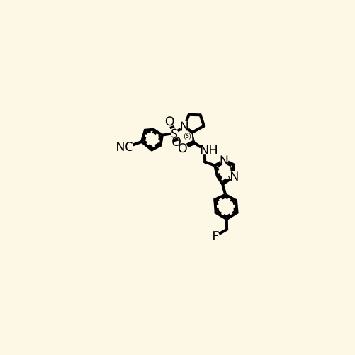 N#Cc1ccc(S(=O)(=O)N2CCC[C@H]2C(=O)NCc2cc(-c3ccc(CF)cc3)ncn2)cc1